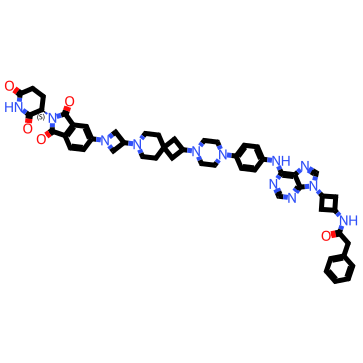 O=C1CC[C@H](N2C(=O)c3ccc(N4CC(N5CCC6(CC5)CC(N5CCN(c7ccc(Nc8ncnc9c8ncn9C8CC(NC(=O)Cc9ccccc9)C8)cc7)CC5)C6)C4)cc3C2=O)C(=O)N1